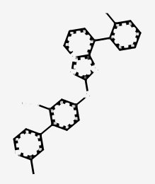 COc1cc(Nc2nc3c(-c4ccccc4Cl)cccn3n2)ccc1-c1ccnc(C)c1